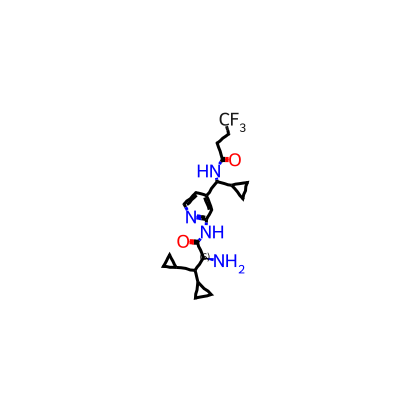 N[C@H](C(=O)Nc1cc(C(NC(=O)CCC(F)(F)F)C2CC2)ccn1)C(C1CC1)C1CC1